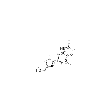 Cc1cc(-c2nc(CO)cs2)cc2c1OCC(=O)N2